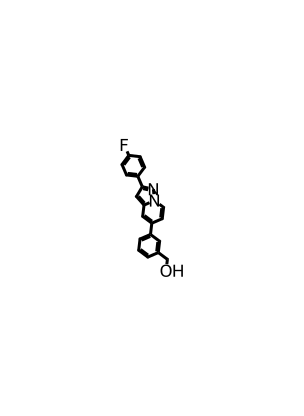 OCc1cccc(-c2ccn3nc(-c4ccc(F)cc4)cc3c2)c1